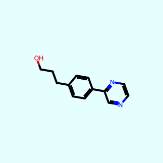 OCCCc1ccc(-c2cnccn2)cc1